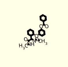 CNC(=O)/C(=N/OC)c1ccccc1Oc1cccc(OC(=O)c2ccccc2)c1